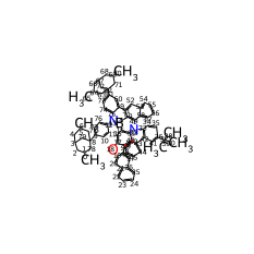 CC1CC2CC(C)CC(c3ccc(N4B5c6cc7oc8cc9ccccc9cc8c7cc6N(c6ccc(C(C)(C)C)cc6-c6ccccc6)c6c5c(cc5ccccc65)-c5cc(C67CC(C)CC(CC(C)C6)C7)ccc54)cc3)(C1)C2